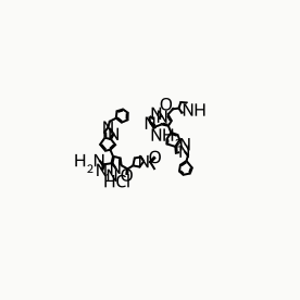 CC(=O)N1CCC(C(=O)c2cc(-c3ccc4cn(Cc5ccccc5)nc4c3)c3c(N)ncnn23)C1.Cl.Nc1ncnn2c(C(=O)C3CCNC3)cc(-c3ccc4cn(Cc5ccccc5)nc4c3)c12